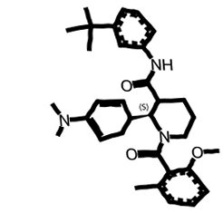 COc1cccc(C)c1C(=O)N1CCCC(C(=O)Nc2cccc(C(C)(C)C)c2)[C@@H]1C1C=CC(N(C)C)=CC1